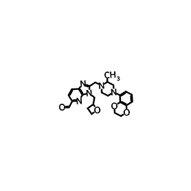 CC1CN(c2cccc3c2OCCO3)CCN1Cc1nc2ccc(C=O)nc2n1CC1CCO1